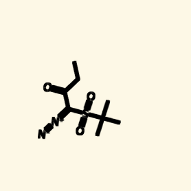 CCC(=O)C(=[N+]=[N-])S(=O)(=O)C(C)(C)C